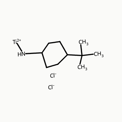 CC(C)(C)C1CCC([NH][Ti+2])CC1.[Cl-].[Cl-]